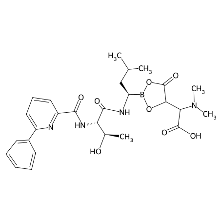 CC(C)C[C@H](NC(=O)[C@@H](NC(=O)c1cccc(-c2ccccc2)n1)[C@@H](C)O)B1OC(=O)C(C(C(=O)O)N(C)C)O1